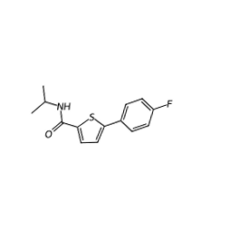 CC(C)NC(=O)c1ccc(-c2ccc(F)cc2)s1